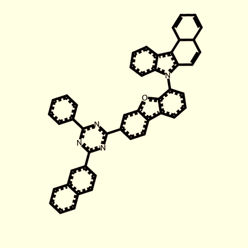 C1=CC2C=Cc3c(c4ccccc4n3-c3cccc4c3oc3cc(-c5nc(-c6ccccc6)nc(-c6ccc7ccccc7c6)n5)ccc34)C2C=C1